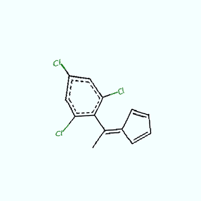 CC(=C1C=CC=C1)c1c(Cl)cc(Cl)cc1Cl